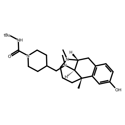 CN1CCC[C@@]2(C)c3cc(O)ccc3C[C@@H]1[C@@H]2N(C)CC1CCN(C(=O)NC(C)(C)C)CC1